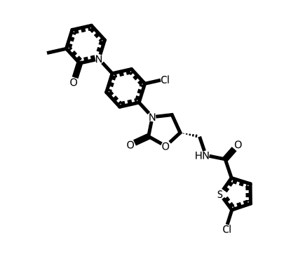 Cc1cccn(-c2ccc(N3C[C@H](CNC(=O)c4ccc(Cl)s4)OC3=O)c(Cl)c2)c1=O